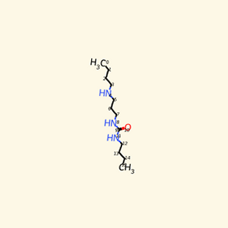 CCCCNCCCNC(=O)NCCCC